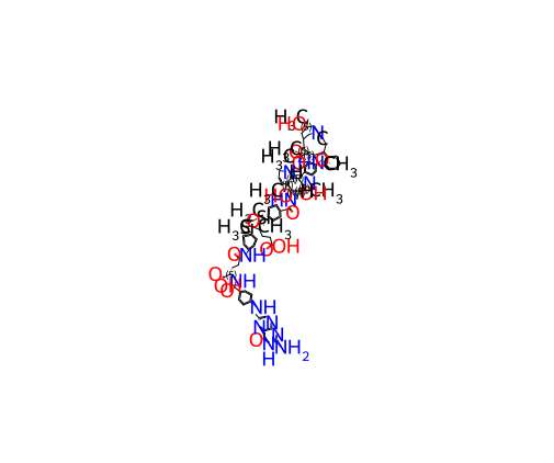 CC[C@]1(O)CC2CN(CCc3c([nH]c4ccccc34)[C@@](C(=O)OC)(c3cc4c(cc3OC)N(C)[C@H]3[C@@](O)(CNC(=O)c5ccc([Si](C)(C)O[Si](C)(CCCC(=O)O)c6ccc(NC(=O)CC[C@H](NC(=O)c7ccc(NCc8cnc9nc(N)[nH]c(=O)c9n8)cc7)C(=O)O)cc6)cc5)[C@H](O)[C@]5(CC)C=CCN6CC[C@]43[C@H]65)[C@H]2C)C1